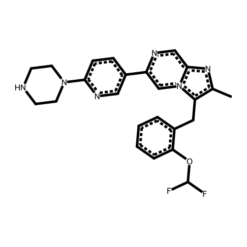 Cc1nc2cnc(-c3ccc(N4CCNCC4)nc3)cn2c1Cc1ccccc1OC(F)F